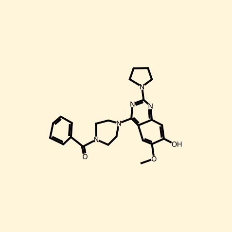 COc1cc2c(N3CCN(C(=O)c4ccccc4)CC3)nc(N3CCCC3)nc2cc1O